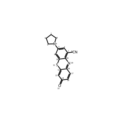 N#Cc1cc(N2CCCC2)cc2sc3cc(=O)ccc-3nc12